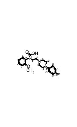 COc1ccccc1N(CCN1CCN(c2ccc(F)cc2)CC1)C(=O)O